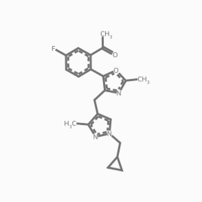 CC(=O)c1cc(F)ccc1-c1oc(C)nc1Cc1cn(CC2CC2)nc1C